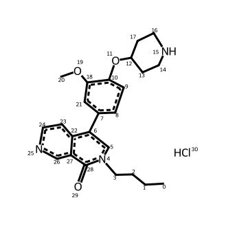 CCCCn1cc(-c2ccc(OC3CCNCC3)c(OC)c2)c2ccncc2c1=O.Cl